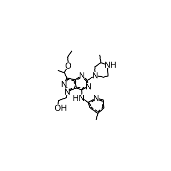 CCOC(C)c1nn(CCO)c2c(Nc3cc(C)ccn3)nc(N3CCNC(C)C3)nc12